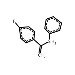 C=C([SiH2]c1ccccc1)c1ccc(F)cc1